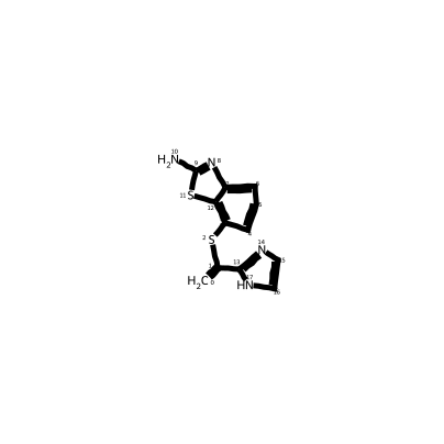 C=C(Sc1cccc2nc(N)sc12)c1ncc[nH]1